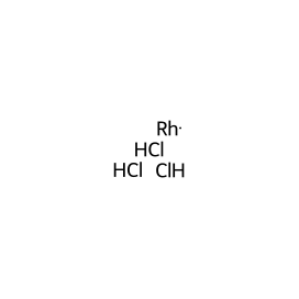 Cl.Cl.Cl.[Rh]